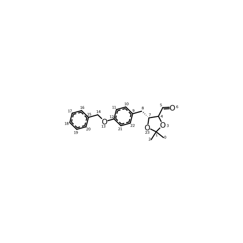 CC1(C)OC(C=O)[C@@H](Cc2ccc(OCc3ccccc3)cc2)O1